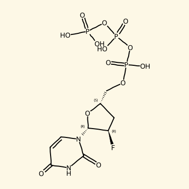 O=c1ccn([C@@H]2O[C@H](COP(=O)(O)OP(=O)(O)OP(=O)(O)O)C[C@H]2F)c(=O)[nH]1